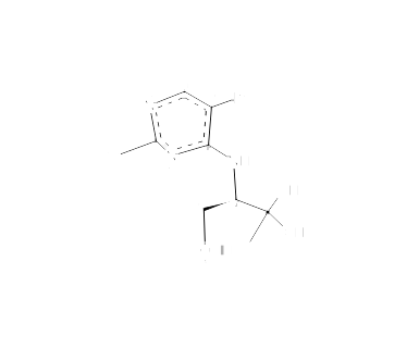 CC(C)(C)[C@@H](CO)Nc1nc(Cl)ncc1Br